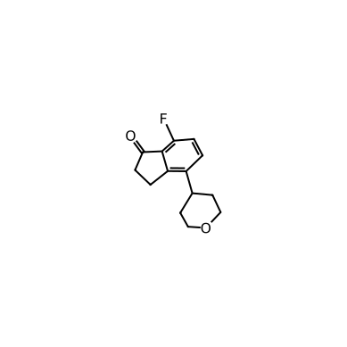 O=C1CCc2c(C3CCOCC3)ccc(F)c21